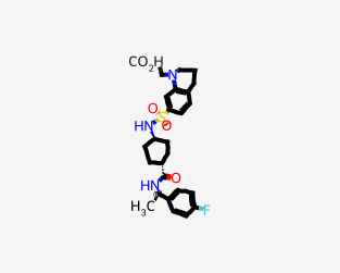 C[C@@H](NC(=O)[C@H]1CC[C@H](NS(=O)(=O)c2ccc3c(c2)N(CC(=O)O)CCC3)CC1)c1ccc(F)cc1